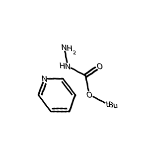 CC(C)(C)OC(=O)NN.c1ccncc1